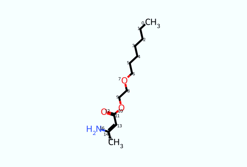 CCCCCCCOCCOC(=O)/C=C(/C)N